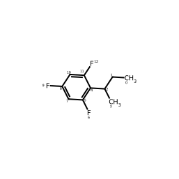 CCC(C)c1c(F)cc(F)cc1F